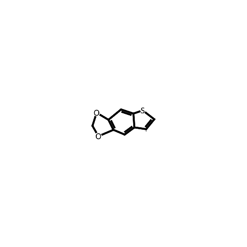 [c]1csc2cc3c(cc12)OCO3